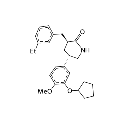 CCc1cccc(C[C@@H]2C[C@@H](c3ccc(OC)c(OC4CCCC4)c3)CNC2=O)c1